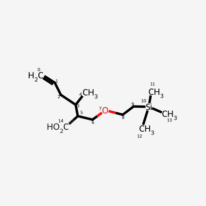 C=CCC(C)C(COCC[Si](C)(C)C)C(=O)O